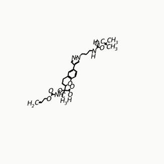 C=CCOC(=O)NOC(C)(C(=O)O)C1CCc2cc(-c3cnn(CCCNC(=O)OC(C)(C)C)c3)ccc2O1